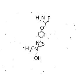 CN(CCO)c1csc(-c2ccc(OC/C(=C/F)CN)cc2)n1